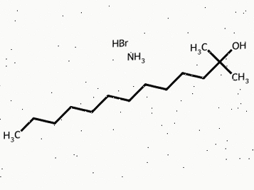 Br.CCCCCCCCCCCC(C)(C)O.N